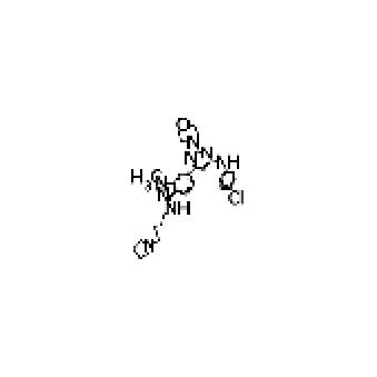 Cn1nc(NCCCCN2CCCC2)c2ccc(-c3cc(Nc4ccc(Cl)cc4)nc(N4CCOCC4)n3)cc21